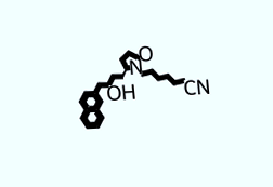 N#CCCCCCCN1C(=O)CC[C@@H]1CCC(O)Cc1ccc2ccccc2c1